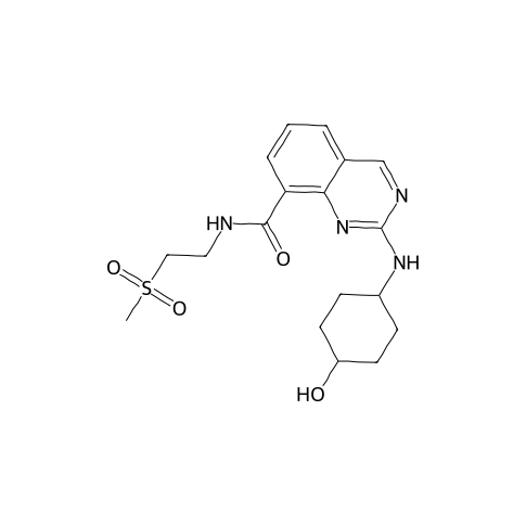 CS(=O)(=O)CCNC(=O)c1cccc2cnc(NC3CCC(O)CC3)nc12